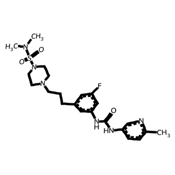 Cc1ccc(NC(=O)Nc2cc(F)cc(CCCN3CCN(S(=O)(=O)N(C)C)CC3)c2)cn1